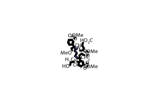 COCCC(C)(C(/C=C/C=C1/N(C(C)(C)CCO)c2ccc(S(=O)(=O)OC)cc2C1(C)CCCS(=O)(=O)OC)=N/CCCCCC(=O)O)c1cccc(S(=O)(=O)OC)c1